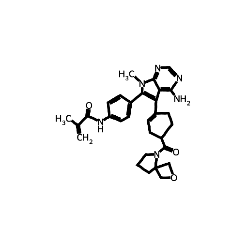 C=C(C)C(=O)Nc1ccc(-c2c(C3=CCC(C(=O)N4CCCC45COC5)CC3)c3c(N)ncnc3n2C)cc1